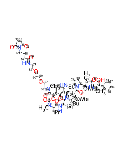 CCNc1ccc(C(OC(=O)N(C)[C@H](C(=O)N[C@H](C(=O)N(C)[C@@H]([C@@H](C)CC)[C@@H](CC(=O)N2CCC[C@H]2[C@H](OC)[C@@H](C)C(=O)N[C@H](C)[C@@H](O)c2ccccc2)OC)C(C)C)C(C)C)C(=O)N(C)CCOCCOCCNC(=O)CCCN2C(=O)C=CC2=O)cc1